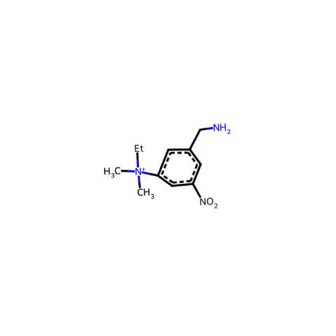 CC[N+](C)(C)c1cc(CN)cc([N+](=O)[O-])c1